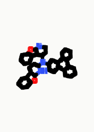 C1=C2c3ccccc3OC2NC(N(c2ccc3c4ccccc4c4ccccc4c3c2)c2ccnc3oc4ccccc4c23)=C1